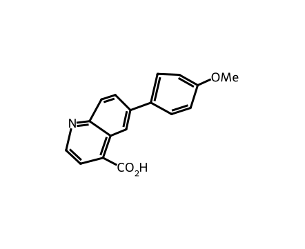 COc1ccc(-c2ccc3nccc(C(=O)O)c3c2)cc1